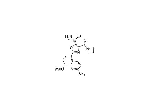 CC[C@H](N)c1oc(-c2ccc(OC)c3nc(C(F)(F)F)ccc23)nc1C(=O)N1CCC1